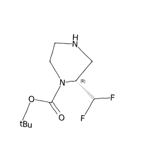 CC(C)(C)OC(=O)N1CCNC[C@@H]1C(F)F